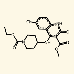 CCOC(=O)N1CCC(Nc2c(C(=O)OC)c(=O)[nH]c3ccc(Cl)cc23)CC1